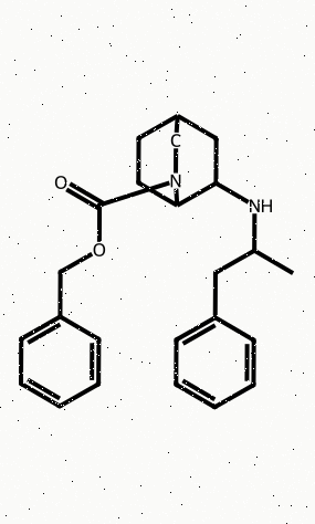 CC(Cc1ccccc1)NC1CC2CCC1N(C(=O)OCc1ccccc1)C2